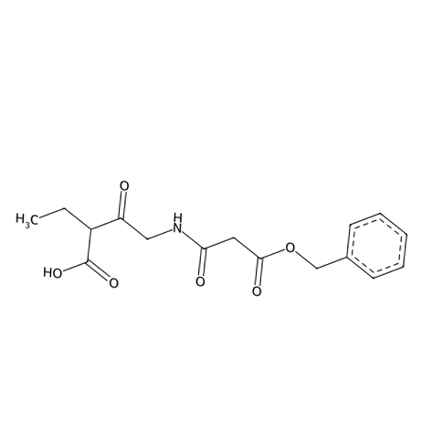 CCC(C(=O)O)C(=O)CNC(=O)CC(=O)OCc1ccccc1